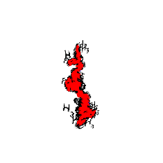 C=CC(=O)N1[C@H](C)CN(c2nc(=O)n3c4c(c(-c5cccc6cnn(C)c56)c(C(F)(F)F)cc24)SCC3CN2CCN(C/C=C/C(=O)N3CCN(c4nc(=O)n5c6c(c(-c7cccc8cnn(C)c78)c(C(F)(F)F)cc46)SCC5CN4CCN(C/C=C/C(=O)N5C[C@H](C)N(c6nc(=O)n7c8c(c(-c9cccc%10cnn(C)c9%10)c(C(F)(F)F)cc68)SCC7CN6CCN(C)CC6)C[C@H]5C)CC4)CC3)CC2)C[C@@H]1C